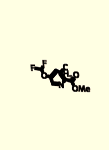 COC(=O)c1ncc(OC(F)F)cc1C